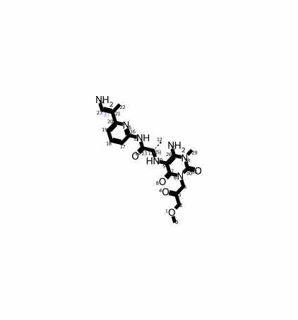 COCC(=O)Cn1c(=O)c(N[C@@H](C)C(=O)Nc2cccc(/C(C)=C/N)n2)c(N)n(C)c1=O